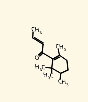 CC=CC(=O)C1=C(C)CCC(C)C1(C)C